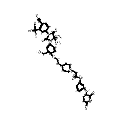 CCc1cc(N2C(=S)N(c3ccc(C#N)c(C(F)(F)F)c3)C(=O)C2(C)C)ccc1OCCC1CCN(CC(=O)Nc2cccc(NC3CCC(=O)NC3=O)c2)CC1